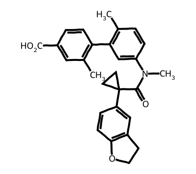 Cc1cc(C(=O)O)ccc1-c1cc(N(C)C(=O)C2(c3ccc4c(c3)CCO4)CC2)ccc1C